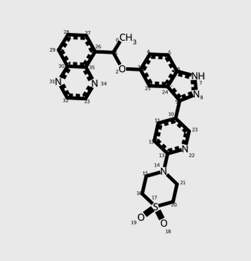 CC(Oc1ccc2[nH]nc(-c3ccc(N4CCS(=O)(=O)CC4)nc3)c2c1)c1cccc2nccnc12